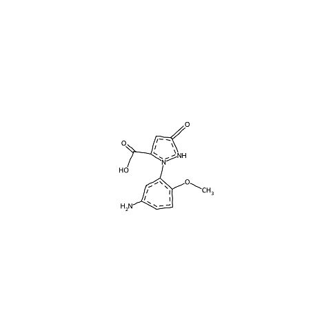 COc1ccc(N)cc1-n1[nH]c(=O)cc1C(=O)O